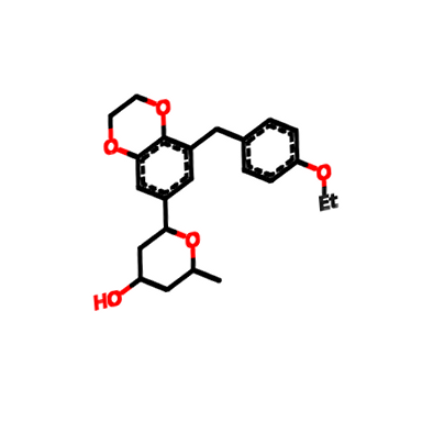 CCOc1ccc(Cc2cc(C3CC(O)CC(C)O3)cc3c2OCCO3)cc1